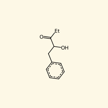 CCC(=O)C(O)Cc1ccccc1